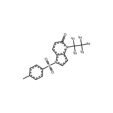 [2H]C([2H])([2H])C([2H])([2H])n1c(=O)ccc2c1ccn2S(=O)(=O)c1ccc(C)cc1